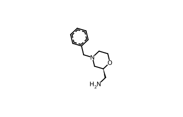 NC[C@H]1CN(Cc2ccccc2)CCO1